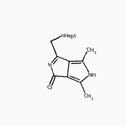 CCCCCCCCC1=NC(=O)c2c(C)[nH]c(C)c21